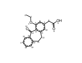 CCOc1cc(CC(=O)O)cc2c1C(=O)c1ccccc1CC2